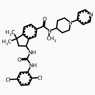 CN(C(=O)c1ccc2c(c1)C(NC(=O)Nc1cc(Cl)ccc1Cl)CC2(C)C)C1CCN(c2ccncc2)CC1